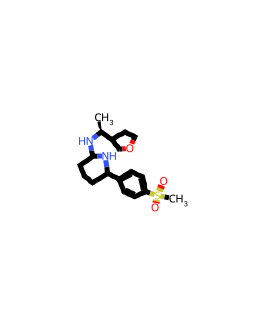 C[C@H](NC1CCCC(c2ccc(S(C)(=O)=O)cc2)N1)C1CCOC1